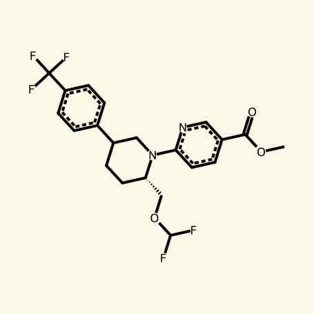 COC(=O)c1ccc(N2CC(c3ccc(C(F)(F)F)cc3)CC[C@H]2COC(F)F)nc1